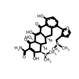 CN(C)Cc1ccoc1-c1ccc(O)c2c1C[C@H]1C[C@H]3[C@@H](N(C)C)C(O)=C(C(N)=O)C(=O)[C@@]3(O)C(O)=C1C2=O